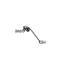 COc1ccc(C(=O)N(CC(C)(C)CCCCCCCCCCCCCCCCCCCCO)c2cccc(C)n2)c(F)c1